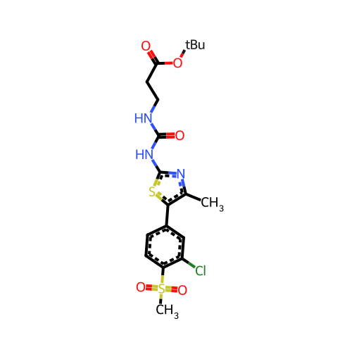 Cc1nc(NC(=O)NCCC(=O)OC(C)(C)C)sc1-c1ccc(S(C)(=O)=O)c(Cl)c1